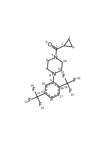 O=C(C1CC1)N1CCN(c2cc(C(F)(F)F)ccc2C(F)(F)F)CC1